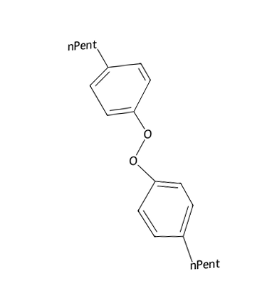 CCCCCc1ccc(OOc2ccc(CCCCC)cc2)cc1